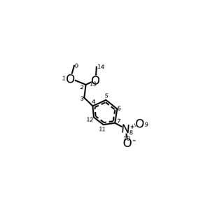 COC(Cc1ccc([N+](=O)[O-])cc1)OC